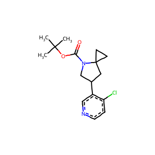 CC(C)(C)OC(=O)N1CC(c2cnccc2Cl)CC12CC2